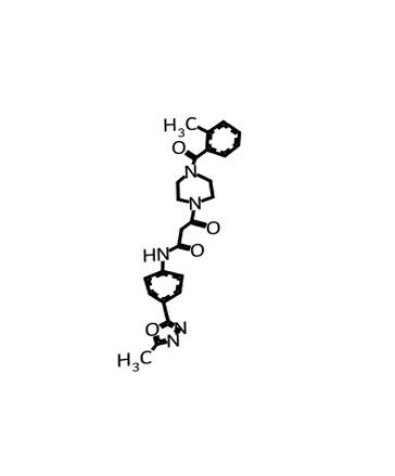 Cc1nnc(-c2ccc(NC(=O)CC(=O)N3CCN(C(=O)c4ccccc4C)CC3)cc2)o1